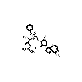 C=C1[C@@H](c2cnn3c(N)ncnc23)C[C@H](O)[C@H]1COP(=O)(NC(C)C(=O)OC(C)C)Oc1ccccc1